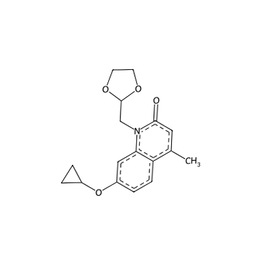 Cc1cc(=O)n(CC2OCCO2)c2cc(OC3CC3)ccc12